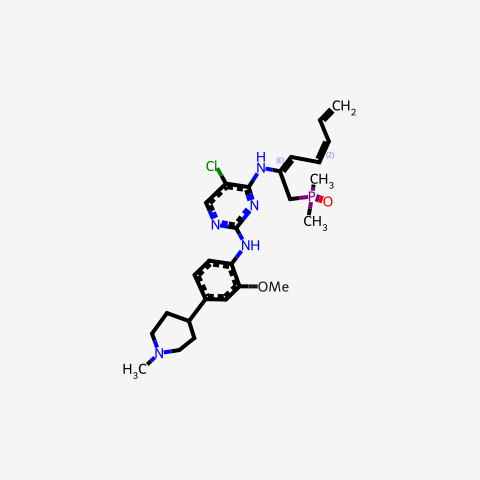 C=C/C=C\C=C(/CP(C)(C)=O)Nc1nc(Nc2ccc(C3CCN(C)CC3)cc2OC)ncc1Cl